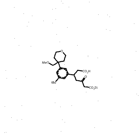 CCOC(=O)CC(=O)CC(CC(=O)O)c1cc(C(C)(C)C)cc(C2(COC)CCOCC2)c1